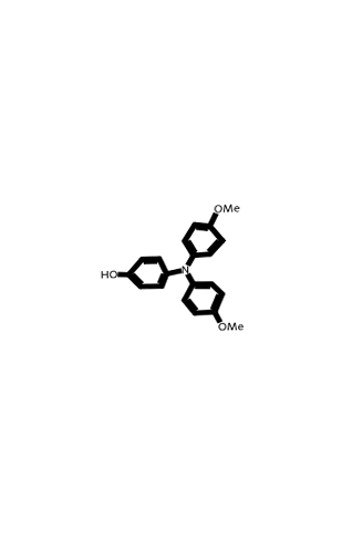 COc1ccc(N(c2ccc(O)cc2)c2ccc(OC)cc2)cc1